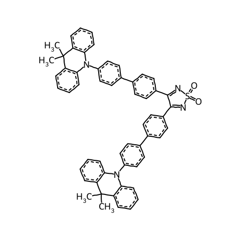 CC1(C)c2ccccc2N(c2ccc(-c3ccc(C4=NS(=O)(=O)N=C4c4ccc(-c5ccc(N6c7ccccc7C(C)(C)c7ccccc76)cc5)cc4)cc3)cc2)c2ccccc21